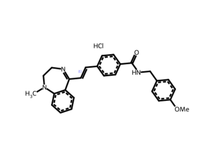 COc1ccc(CNC(=O)c2ccc(/C=C/C3=NCCN(C)c4ccccc43)cc2)cc1.Cl